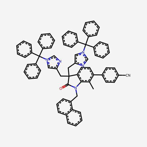 Cc1c(-c2ccc(C#N)cc2)ccc2c1N(Cc1cccc3ccccc13)C(=O)C2(Cc1cn(C(c2ccccc2)(c2ccccc2)c2ccccc2)cn1)Cc1cn(C(c2ccccc2)(c2ccccc2)c2ccccc2)cn1